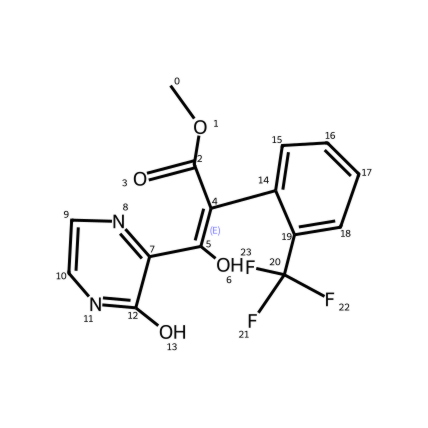 COC(=O)/C(=C(/O)c1nccnc1O)c1ccccc1C(F)(F)F